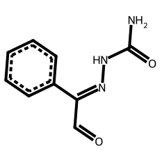 NC(=O)N/N=C(/C=O)c1ccccc1